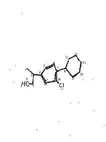 CC(CO)c1ccc(C2CCCCC2)c(Cl)c1